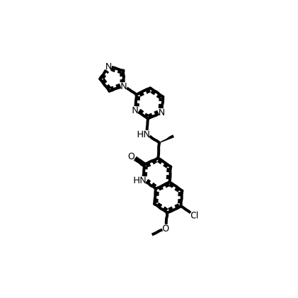 COc1cc2[nH]c(=O)c([C@H](C)Nc3nccc(-n4ccnc4)n3)cc2cc1Cl